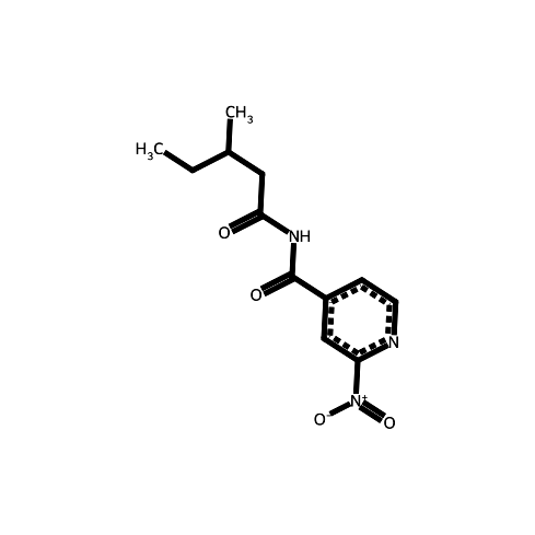 CCC(C)CC(=O)NC(=O)c1ccnc([N+](=O)[O-])c1